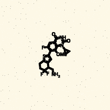 COc1c(-c2cc3c(s2)CCC(F)(F)C3CN)c(F)cc2c(=O)[nH]c(=O)n(C3CC3)c12